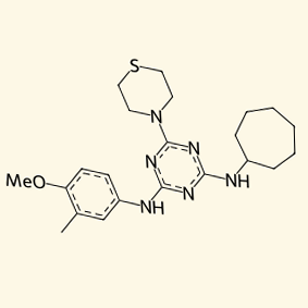 COc1ccc(Nc2nc(NC3CCCCCC3)nc(N3CCSCC3)n2)cc1C